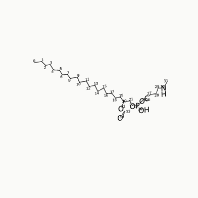 CCCCCCCCCCCCCCCCCCCCC(COP(O)OCCCCNC)OC=O